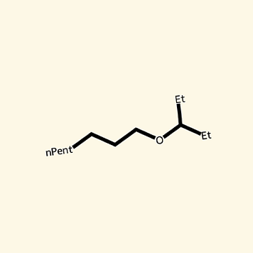 [CH2]CC(CC)OCCCCCCCC